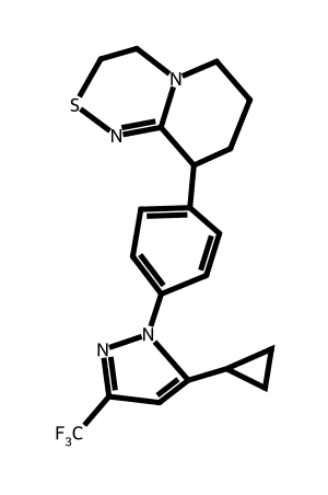 FC(F)(F)c1cc(C2CC2)n(-c2ccc(C3CCCN4CCSN=C34)cc2)n1